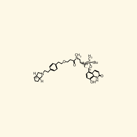 CN(CCNC[C@H](O[Si](C)(C)C(C)(C)C)c1ccc(O)c2[nH]c(=O)ccc12)C(=O)CCOCCc1ccc(CCN2C[C@H]3CCC[C@H]3C2)cc1